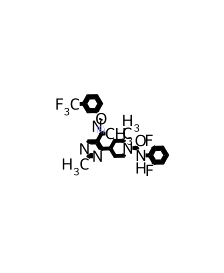 C/C(=N\Oc1cccc(C(F)(F)F)c1)c1cnc(C)nc1C1CCN(C(=O)Nc2c(F)cccc2F)C(C)C1